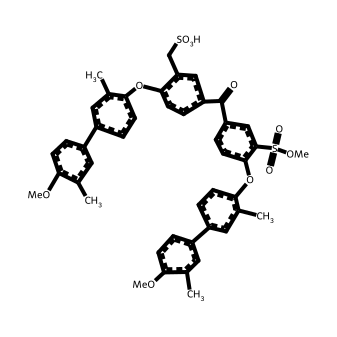 COc1ccc(-c2ccc(Oc3ccc(C(=O)c4ccc(Oc5ccc(-c6ccc(OC)c(C)c6)cc5C)c(S(=O)(=O)OC)c4)cc3CS(=O)(=O)O)c(C)c2)cc1C